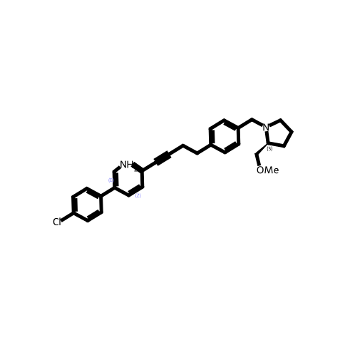 C=C(C#CCCc1ccc(CN2CCC[C@H]2COC)cc1)/C=C\C(=C/N)c1ccc(Cl)cc1